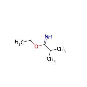 CCOC(=N)C(C)C